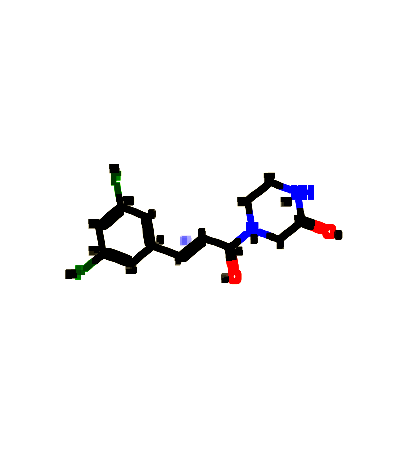 O=C1CN(C(=O)/C=C/c2cc(F)cc(F)c2)CCN1